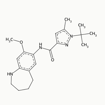 COc1cc2c(cc1NC(=O)c1cc(C)n(C(C)(C)C)n1)CCCCN2